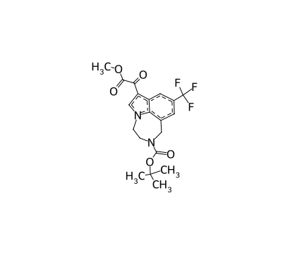 COC(=O)C(=O)c1cn2c3c(cc(C(F)(F)F)cc13)CN(C(=O)OC(C)(C)C)CC2